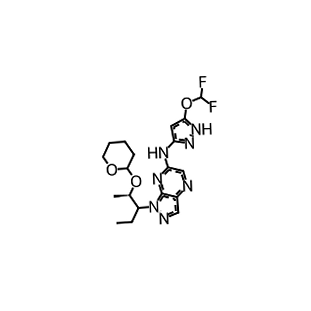 CCC([C@@H](C)OC1CCCCO1)n1ncc2ncc(Nc3cc(OC(F)F)[nH]n3)nc21